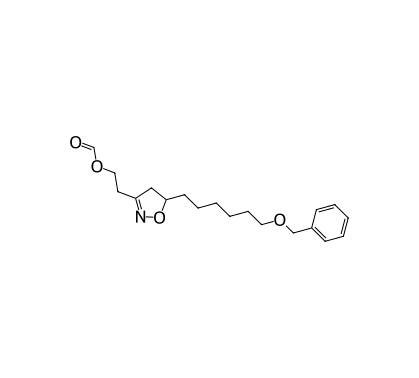 O=COCCC1=NOC(CCCCCCOCc2ccccc2)C1